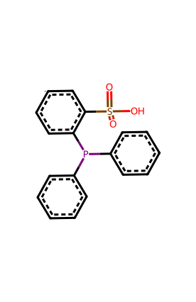 O=S(=O)(O)c1c[c]ccc1P(c1ccccc1)c1ccccc1